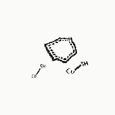 [SH][Co].[SH][Co].c1ccncc1